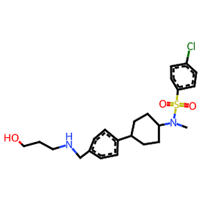 CN(C1CCC(c2ccc(CNCCCO)cc2)CC1)S(=O)(=O)c1ccc(Cl)cc1